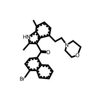 Cc1[nH]c2c(C)ccc(CCN3CCOCC3)c2c1C(=O)c1ccc(Br)c2ccccc12